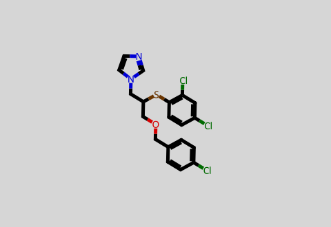 Clc1ccc(COCC(Cn2ccnc2)Sc2ccc(Cl)cc2Cl)cc1